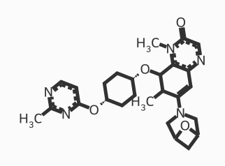 Cc1nccc(O[C@H]2CC[C@@H](OC3c4c(ncc(=O)n4C)C=C(N4CC5CC(C4)O5)C3C)CC2)n1